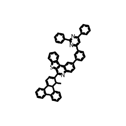 CC1C(c2nc3ccc(-c4cccc(-c5cc(-c6ccccc6)nc(-c6ccccc6)n5)c4)cc3c3c2sc2ccccc23)=CC=C2c3ccccc3-c3ccccc3C21